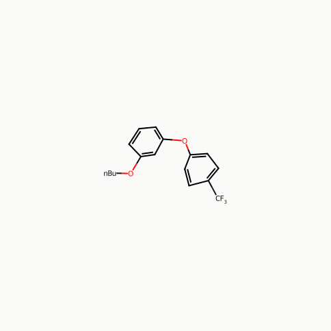 CCCCOc1cccc(Oc2ccc(C(F)(F)F)cc2)c1